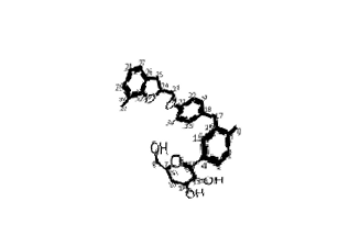 Cc1ccc([C@@H]2O[C@H](CO)C[C@H](O)[C@H]2O)cc1Cc1ccc(OCC2Cc3cccc(C)c3O2)cc1